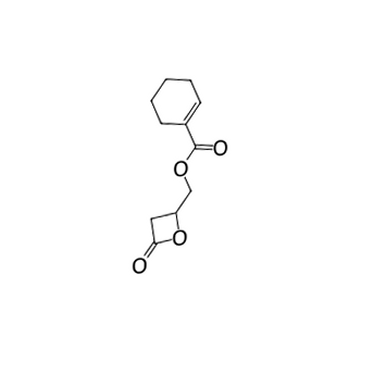 O=C1CC(COC(=O)C2=CCCCC2)O1